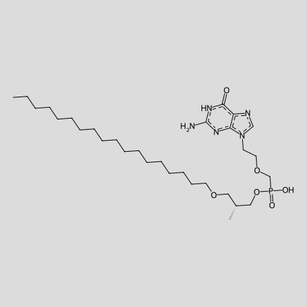 CCCCCCCCCCCCCCCCCCOC[C@@H](C)COP(=O)(O)COCCn1cnc2c(=O)[nH]c(N)nc21